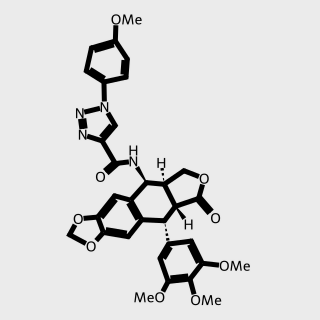 COc1ccc(-n2cc(C(=O)N[C@@H]3c4cc5c(cc4[C@@H](c4cc(OC)c(OC)c(OC)c4)[C@H]4C(=O)OC[C@@H]43)OCO5)nn2)cc1